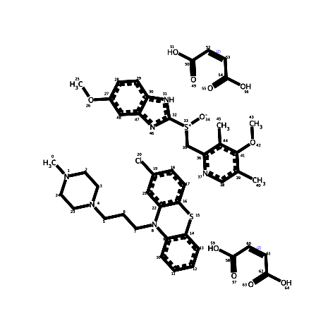 CN1CCN(CCCN2c3ccccc3Sc3ccc(Cl)cc32)CC1.COc1ccc2[nH]c([S+]([O-])Cc3ncc(C)c(OC)c3C)nc2c1.O=C(O)/C=C\C(=O)O.O=C(O)/C=C\C(=O)O